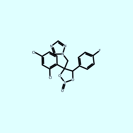 O=S1OC(c2ccc(F)cc2)C(Cn2cncn2)(c2ccc(Cl)cc2Cl)O1